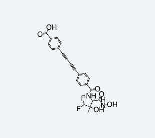 CC(O)(C(F)F)C(NC(=O)c1ccc(C#CC#Cc2ccc(C(=O)O)cc2)cc1)C(=O)NO